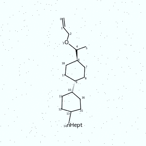 C=CCOC(C)[C@H]1CC[C@H](C2CCC(CCCCCCC)CC2)CC1